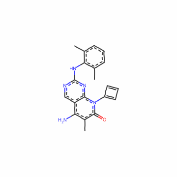 Cc1cccc(C)c1Nc1ncc2c(N)c(C)c(=O)n(C3=CC=C3)c2n1